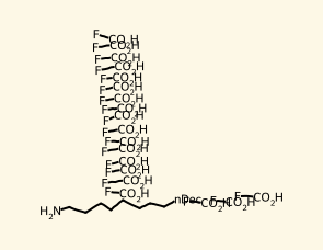 CCCCCCCCCCCCCCCCCCN.O=C(O)F.O=C(O)F.O=C(O)F.O=C(O)F.O=C(O)F.O=C(O)F.O=C(O)F.O=C(O)F.O=C(O)F.O=C(O)F.O=C(O)F.O=C(O)F.O=C(O)F.O=C(O)F.O=C(O)F.O=C(O)F.O=C(O)F.O=C(O)F.O=C(O)F